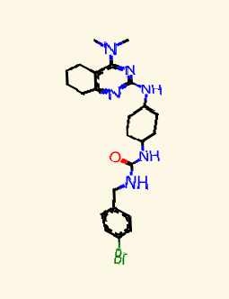 CN(C)c1nc(NC2CCC(NC(=O)NCc3ccc(Br)cc3)CC2)nc2c1CCCC2